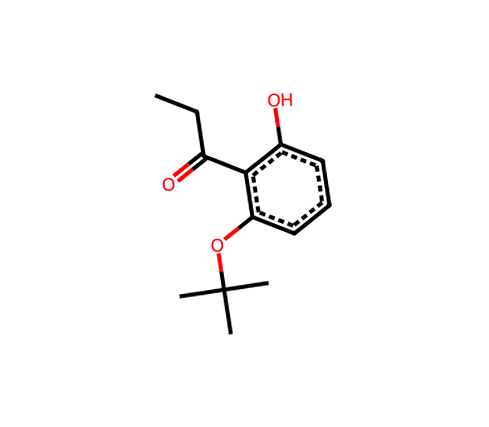 CCC(=O)c1c(O)cccc1OC(C)(C)C